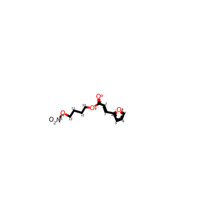 O=C(C=Cc1ccco1)OCCCCO[N+](=O)[O-]